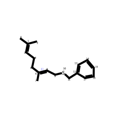 CC(C)=CCC/C(C)=C/CSCc1ccccc1